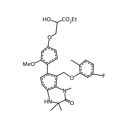 CCOC(=O)C(O)COc1ccc(-c2ccc3c(c2COc2cc(F)ccc2C)N(C)C(=O)C(C)(C)N3)c(OC)c1